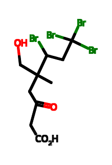 CC(CO)(CC(=O)CC(=O)O)C(Br)CC(Br)(Br)Br